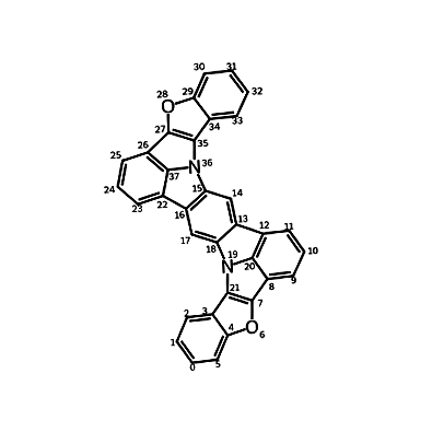 c1ccc2c(c1)oc1c3cccc4c5cc6c(cc5n(c43)c21)c1cccc2c3oc4ccccc4c3n6c12